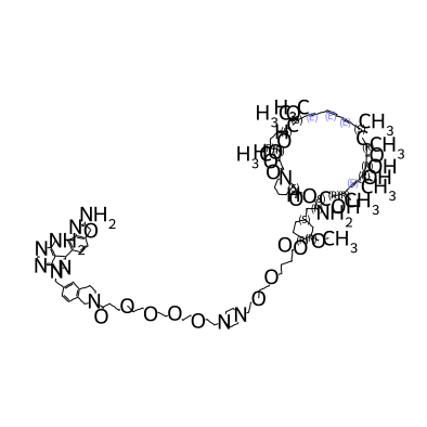 CO[C@H]1C[C@@H]2CC[C@@H](C)[C@@](O)(O2)C(=O)C(=O)N2CCCC[C@H]2C(=O)O[C@H]([C@H](N)C[C@@H]2CC[C@@H](OC(=O)CCCOCCOCCN3CCN(CCOCCOCCOCCOCCC(=O)N4CCc5cc(Cn6nc(-c7ccc8oc(N)nc8c7)c7c(N)ncnc76)ccc5C4)CC3)[C@H](OC)C2)C[C@@H](O)[C@H](C)/C=C(\C)[C@@H](O)[C@@H](O)C(=O)[C@H](C)C[C@H](C)/C=C/C=C/C=C/1C